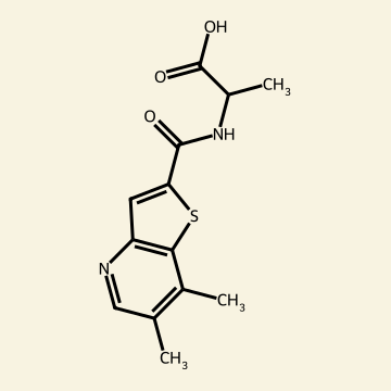 Cc1cnc2cc(C(=O)NC(C)C(=O)O)sc2c1C